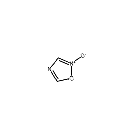 [O-][n+]1cnco1